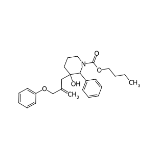 C=C(COc1ccccc1)CC1(O)CCCN(C(=O)OCCCC)C1c1ccccc1